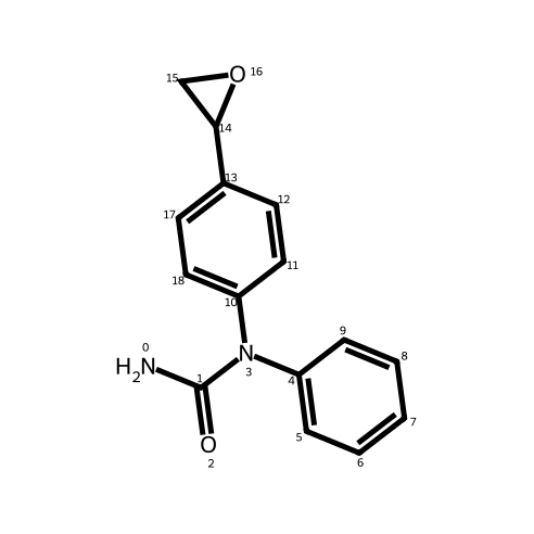 NC(=O)N(c1ccccc1)c1ccc(C2CO2)cc1